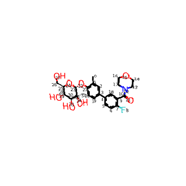 Cc1cc(-c2ccc(F)c(C(=O)N3CCOCC3)c2)ccc1O[C@H]1O[C@H](CO)[C@@H](O)[C@H](O)[C@]1(C)O